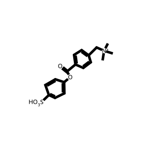 C[N+](C)(C)Cc1ccc(C(=O)Oc2ccc(S(=O)(=O)O)cc2)cc1